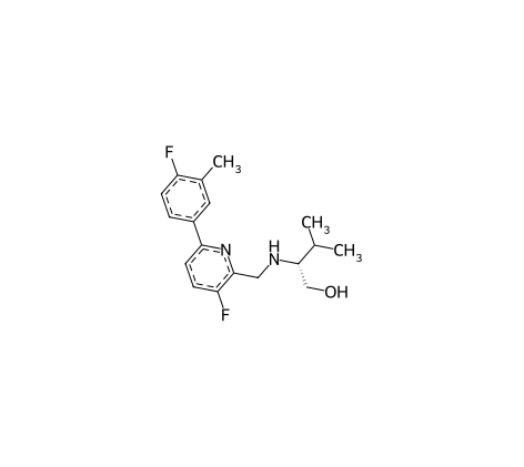 Cc1cc(-c2ccc(F)c(CN[C@@H](CO)C(C)C)n2)ccc1F